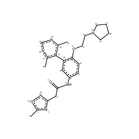 Cc1nc(CC(=O)Nc2ccc(OCCN3CCCC3)c(-c3c(C)ncnc3C)c2)no1